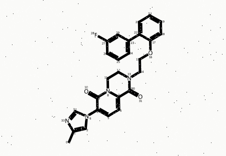 Cc1cn(-c2ccc3n(c2=O)CCN(CCOc2ccccc2-c2cccc(F)c2)C3=O)cn1